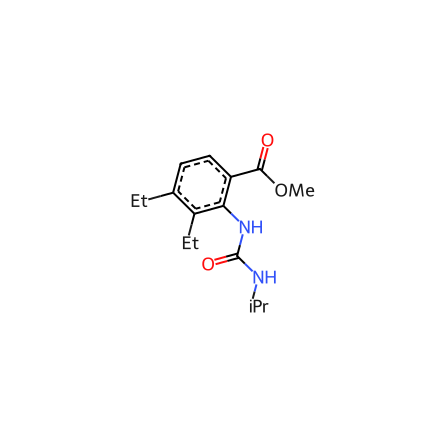 CCc1ccc(C(=O)OC)c(NC(=O)NC(C)C)c1CC